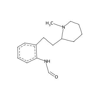 CN1CCCCC1CCc1ccccc1NC=O